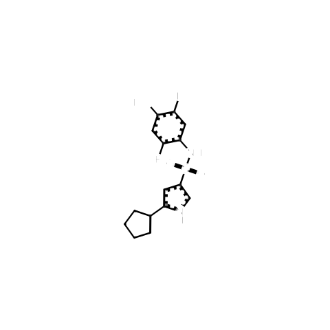 O=S(=O)(Nc1cc(F)c(C(F)(F)F)cc1F)c1c[nH]c(C2CCCC2)c1